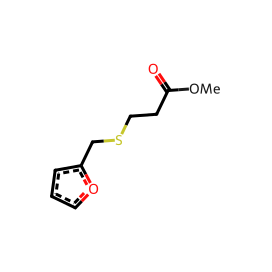 COC(=O)CCSCc1ccco1